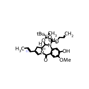 C=CCOC(=O)N1c2cc(O)c(OC)cc2C(=O)N2C=C(/C=C/C)C[C@H]2C1O[Si](C)(C)C(C)(C)C